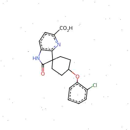 O=C(O)c1ccc2c(n1)C1(CCC(Oc3ccccc3Cl)CC1)C(=O)N2